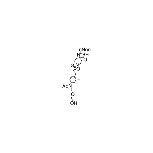 CCCCCCCCCC1=NC2(CCN(S(=O)(=O)CCc3ccc(N(CCOCCO)C(C)=O)cc3C)CC2)C(=O)B1